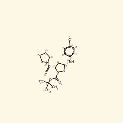 CC(C)(C)OC(=O)N1C[C@@H](Nc2ccc(Cl)cc2)C[C@H]1C(=O)N1CCSC1